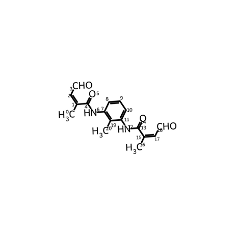 C/C(=C/C=O)C(=O)Nc1cccc(NC(=O)/C(C)=C\C=O)c1C